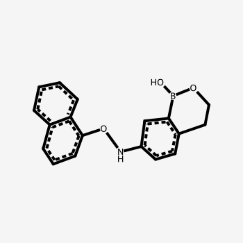 OB1OCCc2ccc(NOc3cccc4ccccc34)cc21